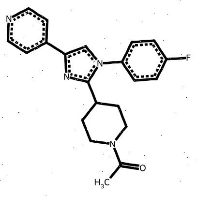 CC(=O)N1CCC(c2nc(-c3ccncc3)cn2-c2ccc(F)cc2)CC1